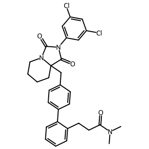 CN(C)C(=O)CCc1ccccc1-c1ccc(CC23CCCCN2C(=O)N(c2cc(Cl)cc(Cl)c2)C3=O)cc1